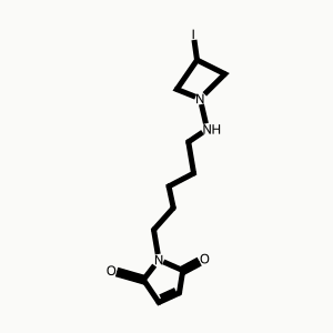 O=C1C=CC(=O)N1CCCCCNN1CC(I)C1